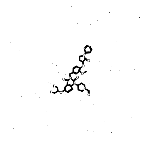 COc1cc(Cn2c(=O)c3cc(OC(CF)CF)ccc3n(C3CCN(C=O)CC3)c2=O)ccc1OC1CCN(c2ccccc2)C1=O